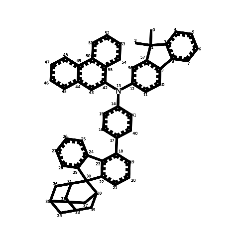 CC1(C)c2ccccc2-c2ccc(N(c3ccc(-c4cccc5c4-c4ccccc4C54C5CC6CC(C5)CC4C6)cc3)c3cc4ccccc4c4ccccc34)cc21